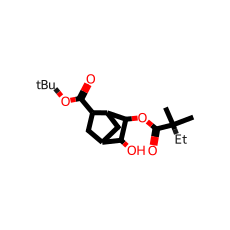 CCC(C)(C)C(=O)OC1C(O)C2CC(C(=O)OC(C)(C)C)C1C2